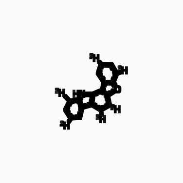 [2H]c1cc([2H])c2[nH]c3c(c([2H])c([2H])c4oc5c([2H])cc([2H])cc5c43)c2c1